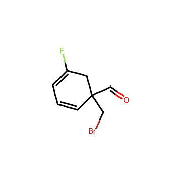 O=[C]C1(CBr)C=CC=C(F)C1